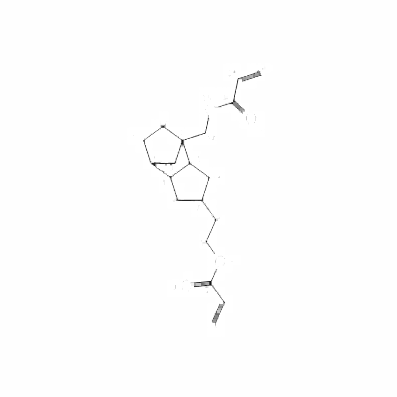 C=CC(=O)OCCC1CC2C3CCC(COC(=O)C=C)(C3)C2C1